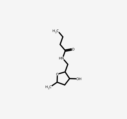 CCCC(=O)NCC1OC(C)CC1O